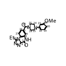 CCc1nnc2c(=O)[nH]c3cc(C(=O)N4CCN(c5cccc(OC)c5)CC4)ccc3n12